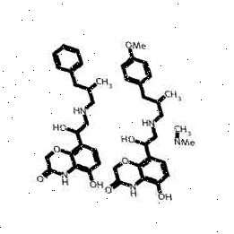 CC(CNCC(O)c1ccc(O)c2c1OCC(=O)N2)Cc1ccccc1.CNC.COc1ccc(CC(C)CNCC(O)c2ccc(O)c3c2OCC(=O)N3)cc1